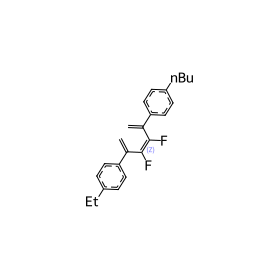 C=C(/C(F)=C(/F)C(=C)c1ccc(CCCC)cc1)c1ccc(CC)cc1